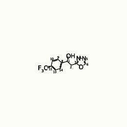 OC(Cc1nnco1)c1ccc(C(F)(F)F)cc1